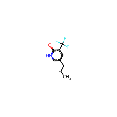 C[CH]Cc1c[nH]c(=O)c(C(F)(F)F)c1